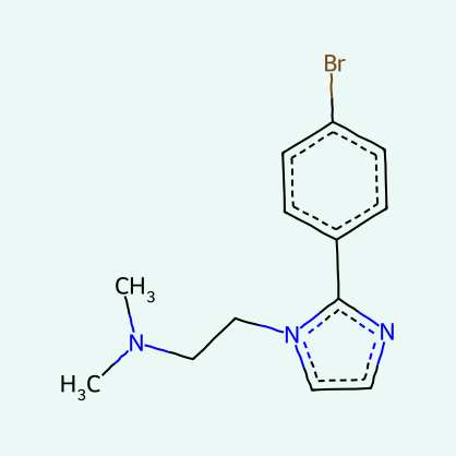 CN(C)CCn1ccnc1-c1ccc(Br)cc1